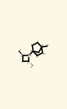 C[C@@H]1C[C@@H](C)P1C12CCC(C)(CC1)C2